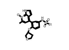 CCS(=O)(=O)Nc1ccc(OC2CCOC2)c(-c2cc(C)[n+]([O-])c3[nH]ccc23)c1